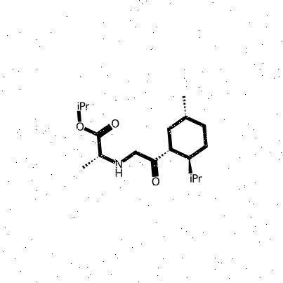 CC(C)OC(=O)[C@@H](C)NCC(=O)[C@@H]1C[C@H](C)CC[C@H]1C(C)C